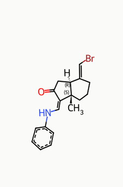 C[C@]12CCCC(=CBr)[C@@H]1CC(=O)C2=CNc1ccccc1